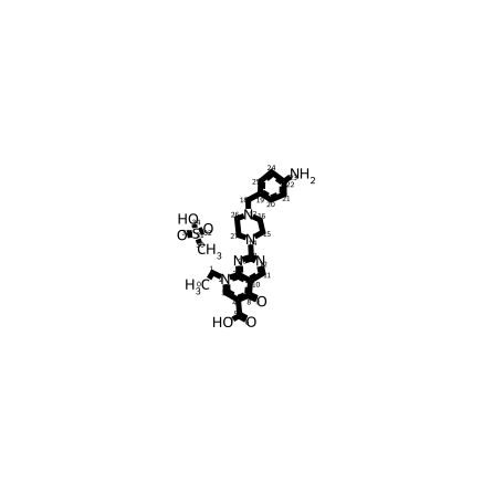 CCn1cc(C(=O)O)c(=O)c2cnc(N3CCN(Cc4ccc(N)cc4)CC3)nc21.CS(=O)(=O)O